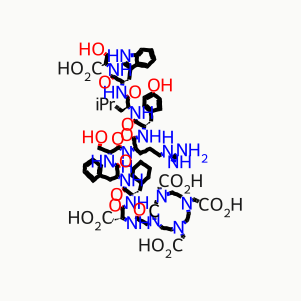 CC(C)C[C@H](NC(=O)[C@H](Cc1ccc(O)cc1)NC(=O)C(CCCNC(=N)N)NC(=O)C(CO)NC(=O)C(Cc1ccccc1)NC(=O)[C@H](CC1CCCCC1)NC(=O)[C@@H](CC(=O)O)NC(=O)CN1CCN(CC(=O)O)CCN(CC(=O)O)CCN(CC(=O)O)CC1)C(=O)N[C@@H](Cc1c[nH]c2ccccc12)C(=O)N[C@@H](CO)C(=O)O